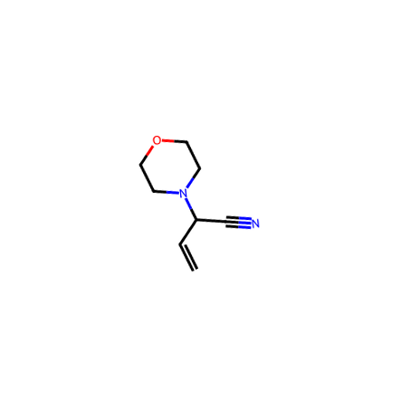 C=CC(C#N)N1CCOCC1